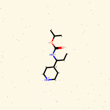 CCC(NC(=O)OC(C)C)C1CCNCC1